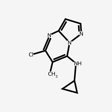 Cc1c(Cl)nc2ccnn2c1NC1CC1